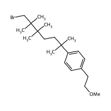 COCCc1ccc(C(C)(C)CCC(C)(C)C(C)(C)CBr)cc1